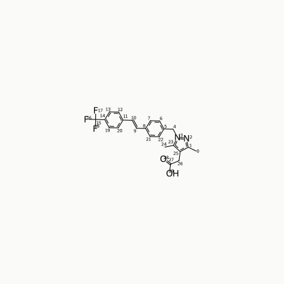 Cc1nn(Cc2ccc(C=Cc3ccc(C(F)(F)F)cc3)cc2)c(C)c1CC(=O)O